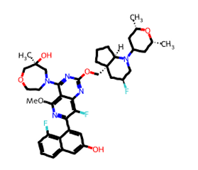 COc1nc(-c2cc(O)cc3cccc(F)c23)c(F)c2nc(OC[C@]34CCC[C@H]3N(C3C[C@@H](C)O[C@@H](C)C3)C[C@@H](F)C4)nc(N3CCOC[C@@](C)(O)C3)c12